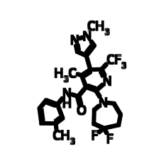 Cc1cccc(NC(=O)c2c(N3CCCC(F)(F)CC3)nc(C(F)(F)F)c(-c3cnn(C)c3)c2C)c1